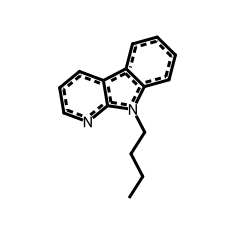 CCCCn1c2ccccc2c2cccnc21